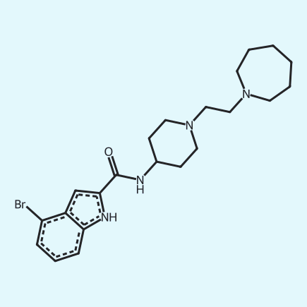 O=C(NC1CCN(CCN2CCCCCC2)CC1)c1cc2c(Br)cccc2[nH]1